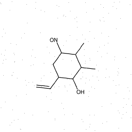 C=CC1CC(N=O)C(C)C(C)C1O